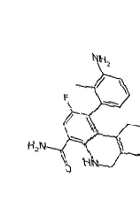 Cc1c(N)cccc1-c1c(F)cc(C(N)=O)c2c1C1=C(CCCC1)CN2